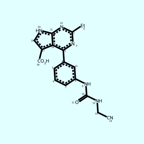 CCc1nc(-c2cccc(NC(=O)NCC#N)c2)c2c(C(=O)O)c[nH]c2n1